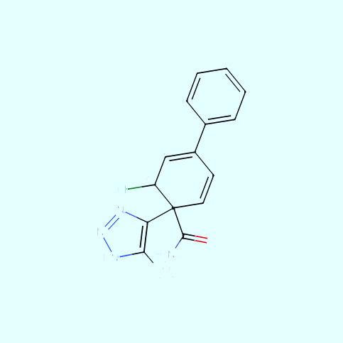 NC(=O)C1(c2nn[nH]c2C(=O)O)C=CC(c2ccccc2)=CC1Cl